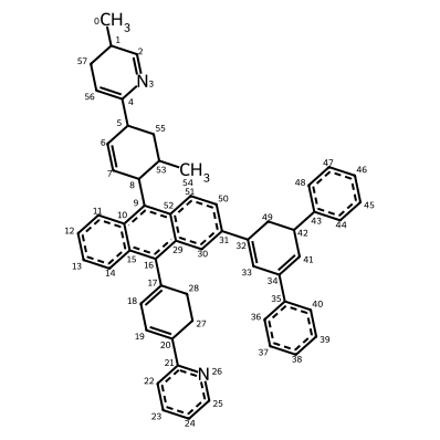 CC1C=NC(C2C=CC(c3c4ccccc4c(C4=CC=C(c5ccccn5)CC4)c4cc(C5=CC(c6ccccc6)=CC(c6ccccc6)C5)ccc34)C(C)C2)=CC1